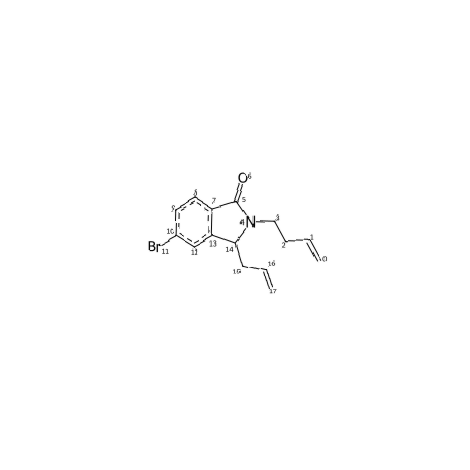 C=CCCN1C(=O)c2ccc(Br)cc2C1CC=C